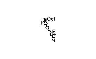 CCCCCCCCOc1ccc(C2CCC(/C=C/c3ccc(-c4ccc(C)cc4)c(F)c3F)CC2)cc1F